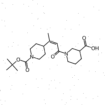 CC(=CC(=O)N1CCCC(C(=O)O)C1)C1CCN(C(=O)OC(C)(C)C)CC1